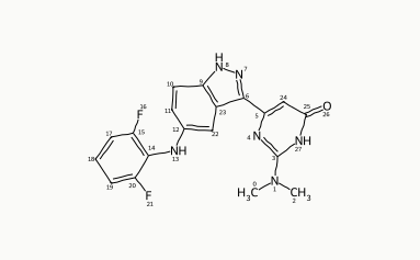 CN(C)c1nc(-c2n[nH]c3ccc(Nc4c(F)cccc4F)cc23)cc(=O)[nH]1